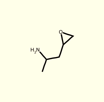 CC(N)CC1CO1